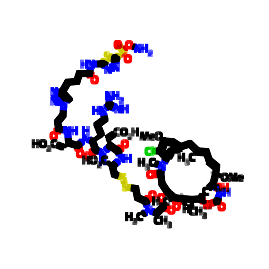 COc1cc2cc(c1Cl)N(C)C(=O)C[C@H](OC(=O)[C@H](C)N(C)C(=O)CCSSC[C@H](NC(=O)[C@H](CC(=O)O)NC(=O)[C@H](CCCNC(=N)N)NC(=O)[C@H](CC(=O)O)NC(=O)CCn1cc(CCCC(=O)Nc3nnc(S(=O)(=O)ON)s3)nn1)C(=O)O)[C@@]1(C)O[C@H]1[C@H](C)[C@@H]1C[C@@](O)(NC(=O)O1)[C@H](OC)/C=C/C=C(\C)C2